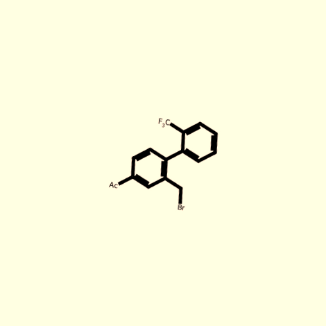 CC(=O)c1ccc(-c2ccccc2C(F)(F)F)c(CBr)c1